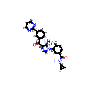 Cc1ccc(C(=O)NC2CC2)cc1-n1cnc(C(=O)c2cccc(-c3ncccn3)c2)c1N